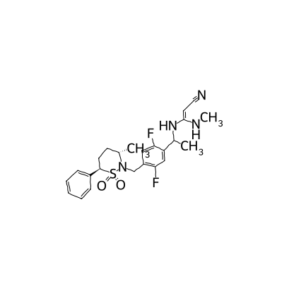 CNC(=CC#N)NC(C)c1cc(F)c(CN2[C@@H](C)CC[C@H](c3ccccc3)S2(=O)=O)cc1F